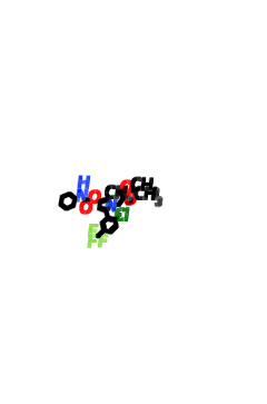 Cc1c(OC(=O)NC2CCCCC2)cc(-c2cc(C(F)(F)F)ccc2Cl)n1CC1COC(C)(C)O1